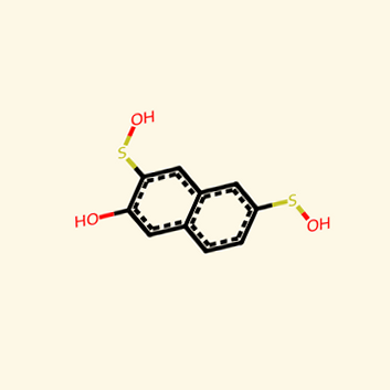 OSc1ccc2cc(O)c(SO)cc2c1